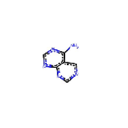 Nc1ncnc2ncncc12